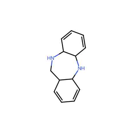 C1=CC2CNC3C=CC=CC3NC2C=C1